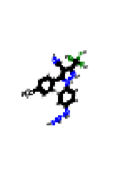 Cc1ccc(-c2c(C#N)c(C(F)(F)F)nn2-c2ccc(N=[N+]=[N-])cc2)cc1